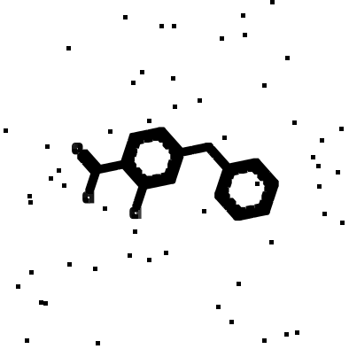 O=C(Cl)c1ccc(Cc2ccccc2)cc1Cl